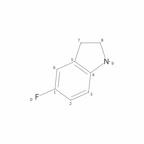 Fc1ccc2c(c1)CC[N]2